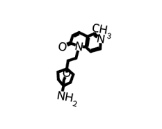 Cc1nccc2c1ccc(=O)n2CCC12CCC(N)(CC1)CO2